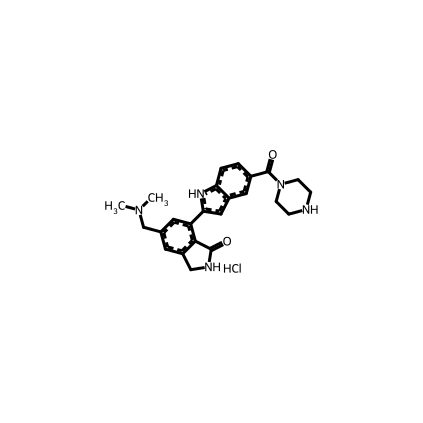 CN(C)Cc1cc2c(c(-c3cc4cc(C(=O)N5CCNCC5)ccc4[nH]3)c1)C(=O)NC2.Cl